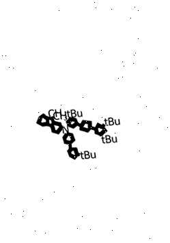 CC(C)(C)c1cccc(-c2ccc(N(c3cc(-c4ccc(-c5cc(C(C)(C)C)cc(C(C)(C)C)c5)cc4)cc(C(C)(C)C)c3)c3ccc4c(c3)C(C)(C)c3ccccc3-4)cc2)c1